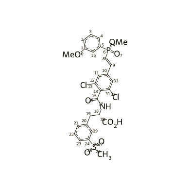 COc1cccc(P(=O)(/C=C/c2cc(Cl)c(C(=O)N[C@@H](Cc3cccc(S(C)(=O)=O)c3)C(=O)O)c(Cl)c2)OC)c1